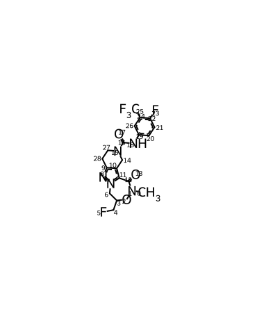 CN1OC(CF)Cn2nc3c(c2C1=O)CN(C(=O)Nc1ccc(F)c(C(F)(F)F)c1)CC3